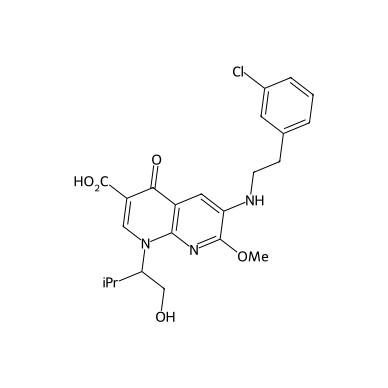 COc1nc2c(cc1NCCc1cccc(Cl)c1)c(=O)c(C(=O)O)cn2C(CO)C(C)C